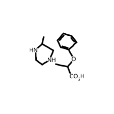 CC(Oc1ccccc1)C(=O)O.CC1CNCCN1